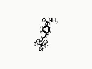 NC(=O)c1ccc(CCS(=O)(=O)C(Br)(Br)Br)cc1